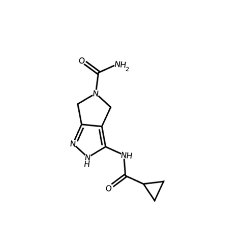 NC(=O)N1Cc2n[nH]c(NC(=O)C3CC3)c2C1